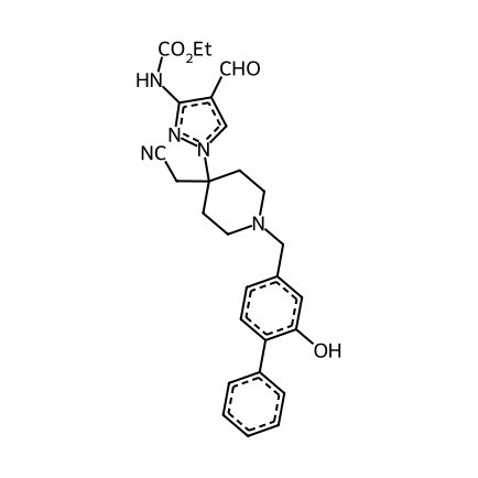 CCOC(=O)Nc1nn(C2(CC#N)CCN(Cc3ccc(-c4ccccc4)c(O)c3)CC2)cc1C=O